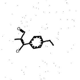 CCc1ccc(C(Cl)=C(C)C=O)cc1